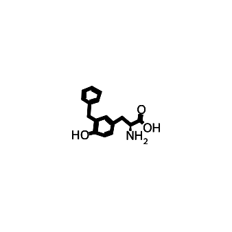 N[C@@H](Cc1ccc(O)c(Cc2ccccc2)c1)C(=O)O